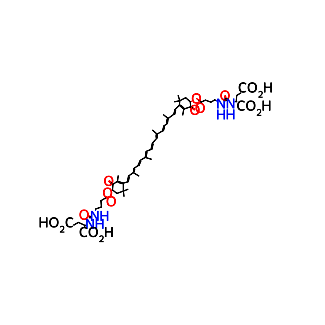 CC1=C(/C=C/C(C)=C/C=C/C(C)=C/C=C/C=C(C)/C=C/C=C(C)/C=C/C2=C(C)C(=O)C(OC(=O)CCCNC(=O)NC(CCC(=O)O)C(=O)O)CC2(C)C)C(C)(C)CC(OC(=O)CCCNC(=O)NC(CCC(=O)O)C(=O)O)C1=O